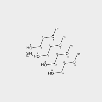 COCCO.COCCO.COCCO.COCCO.[SiH4]